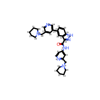 O=C(Nc1ccnc(CN2CCCCC2)c1)c1n[nH]c2ccc(-c3cncc(CN4CCCCC4)c3)cc12